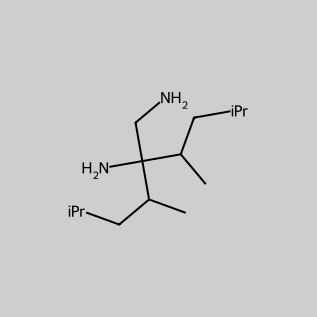 CC(C)CC(C)C(N)(CN)C(C)CC(C)C